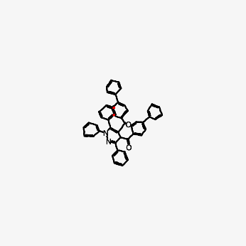 O=C(C1=C(c2ccccc2)N(c2ccccc2)N=C(c2ccccc2)C1C(=O)c1ccc(-c2ccccc2)cc1)c1ccc(-c2ccccc2)cc1